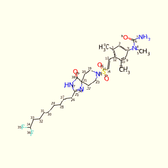 Cc1cc(N(C)C(N)=O)cc(C)c1/C=C/S(=O)(=O)N1CCC2(CC1)N=C(CCCCCCCCC(F)F)NC2=O